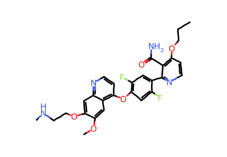 CCCOc1ccnc(-c2cc(F)c(Oc3ccnc4cc(OCCNC)c(OC)cc34)cc2F)c1C(N)=O